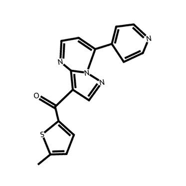 Cc1ccc(C(=O)c2cnn3c(-c4ccncc4)ccnc23)s1